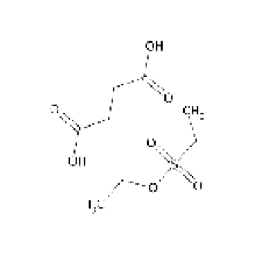 CCOS(=O)(=O)CC.O=C(O)CCC(=O)O